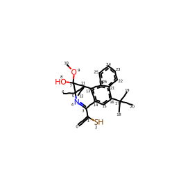 C=C(S)C1=NC2(C)C(O)(OC)C2(C)c2c1cc(C(C)(C)C)c1ccccc21